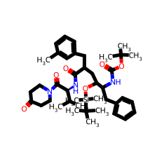 Cc1cccc(CC(CC(O[Si](C)(C)C(C)(C)C)C(Cc2ccccc2)NC(=O)OC(C)(C)C)C(=O)N[C@H](C(=O)N2CCC(=O)CC2)C(C)C)c1